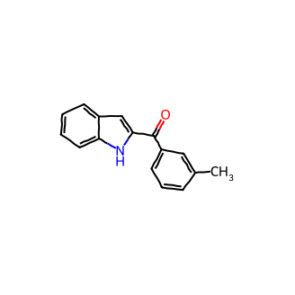 Cc1cccc(C(=O)c2cc3ccccc3[nH]2)c1